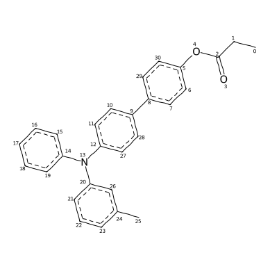 CCC(=O)Oc1ccc(-c2ccc(N(c3ccccc3)c3cccc(C)c3)cc2)cc1